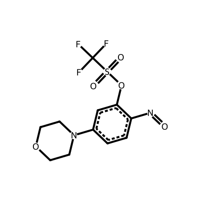 O=Nc1ccc(N2CCOCC2)cc1OS(=O)(=O)C(F)(F)F